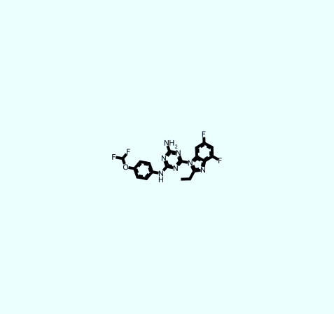 CCc1nc2c(F)cc(F)cc2n1-c1nc(N)nc(Nc2ccc(OC(F)F)cc2)n1